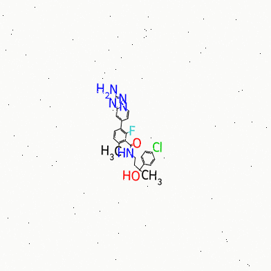 Cc1ccc(-c2ccn3nc(N)nc3c2)c(F)c1C(=O)NCCC(C)(O)c1ccc(Cl)cc1